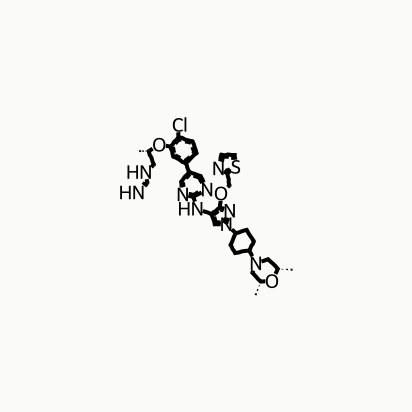 C[C@@H]1CN(C2CCC(n3cc(Nc4ncc(-c5ccc(Cl)c(O[C@@H](C)CNC=N)c5)cn4)c(OCc4nccs4)n3)CC2)C[C@H](C)O1